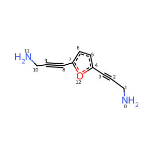 NCC#Cc1ccc(C#CCN)o1